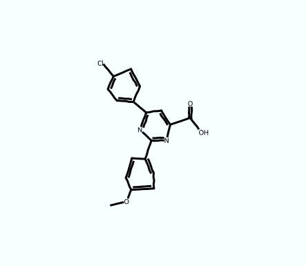 COc1ccc(-c2nc(C(=O)O)cc(-c3ccc(Cl)cc3)n2)cc1